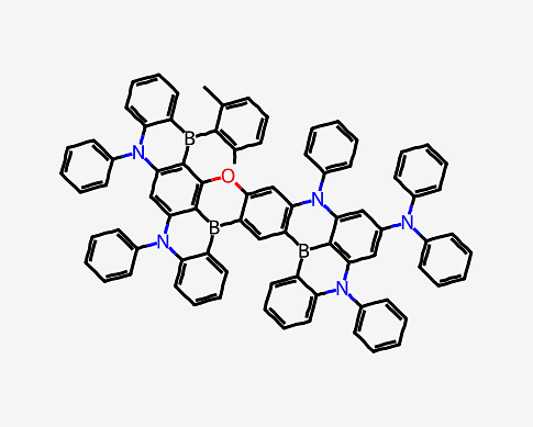 Cc1cccc(C)c1B1c2ccccc2N(c2ccccc2)c2cc3c4c(c21)Oc1cc2c(cc1B4c1ccccc1N3c1ccccc1)B1c3ccccc3N(c3ccccc3)c3cc(N(c4ccccc4)c4ccccc4)cc(c31)N2c1ccccc1